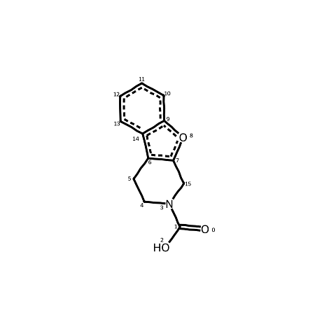 O=C(O)N1CCc2c(oc3ccccc23)C1